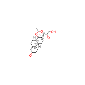 CC1O[C@@]2(C(=O)CO)CC[C@@]3(O1)[C@@H]1CCC4=CC(=O)CC[C@]4(C)[C@H]1CC[C@]23C